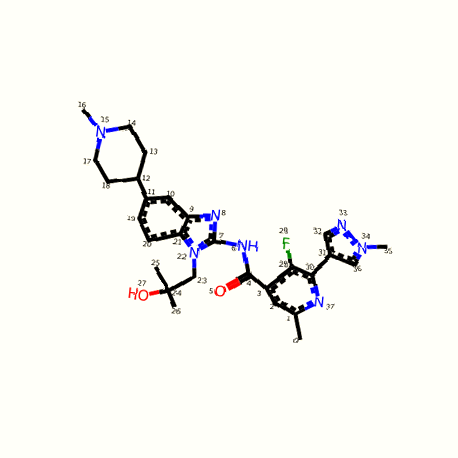 Cc1cc(C(=O)Nc2nc3cc(C4CCN(C)CC4)ccc3n2CC(C)(C)O)c(F)c(-c2cnn(C)c2)n1